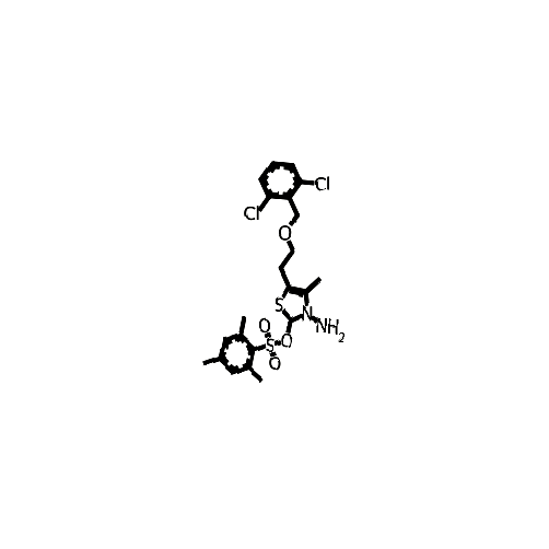 CC1=C(CCOCc2c(Cl)cccc2Cl)SC(OS(=O)(=O)c2c(C)cc(C)cc2C)N1N